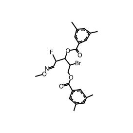 CON=CC(F)C(OC(=O)c1cc(C)cc(C)c1)C(Br)COC(=O)c1cc(C)cc(C)c1